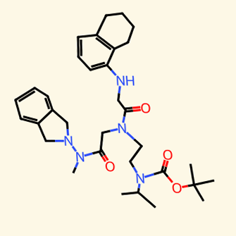 CC(C)N(CCN(CC(=O)N(C)N1Cc2ccccc2C1)C(=O)CNc1cccc2c1CCCC2)C(=O)OC(C)(C)C